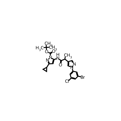 CC(C(=O)Nc1cc(C2CC2)nn1C(=O)OC(C)(C)C)c1cnn(-c2cc(Cl)cc(Br)c2)c1